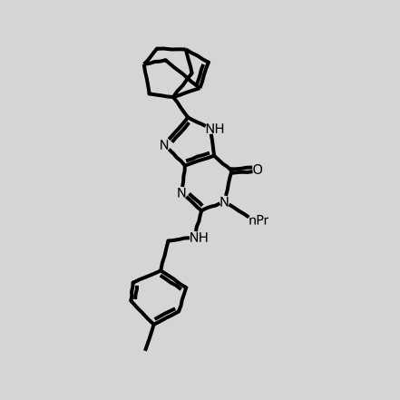 CCCn1c(NCc2ccc(C)cc2)nc2nc(C34CC5C=C3CC(C5)C4)[nH]c2c1=O